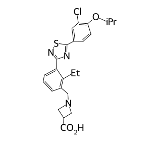 CCc1c(CN2CC(C(=O)O)C2)cccc1-c1nsc(-c2ccc(OC(C)C)c(Cl)c2)n1